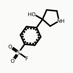 O=S(=O)(F)c1ccc(C2(O)CCNC2)cc1